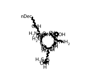 C=C1CCCn2cc(nn2)C[C@@H](NC(O)CCCC[C@@H]2SC[C@@H]3NC(=O)N(C)C32)C(=O)NCC(=O)NC(CCCCN)C(=O)N[C@@H](Cc2ccc(O)cc2)C(=O)NCC(=O)N[C@H]1C(=O)N[C@H](CCCCNC(=O)CCCCCCCCCCCCCCC)C(N)=O